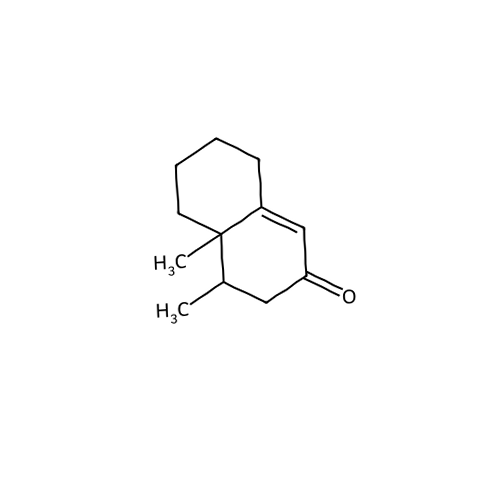 CC1CC(=O)C=C2CCCCC21C